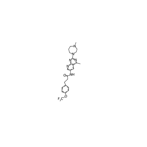 Cc1nc(N2CCCN(C)CC2)nc2ncc(NC(=O)CCc3ccc(OC(F)(F)F)cc3)cc12